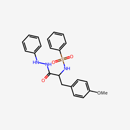 COc1ccc(CC(NS(=O)(=O)c2ccccc2)C(=O)NNc2ccccc2)cc1